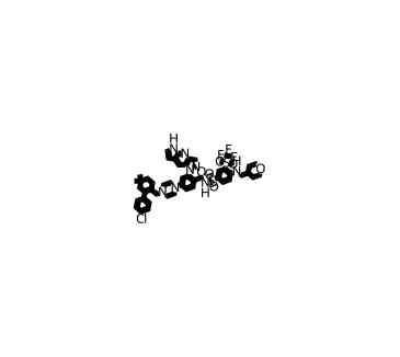 CC1(C)CCC(CN2CCN(c3ccc(C(=O)NS(=O)(=O)c4ccc(NCC5CCOCC5)c(S(=O)(=O)C(F)(F)F)c4)c(-n4ncc5nc6[nH]ccc6cc54)c3)CC2)=C(c2ccc(Cl)cc2)C1